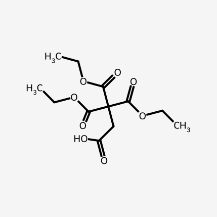 CCOC(=O)C(CC(=O)O)(C(=O)OCC)C(=O)OCC